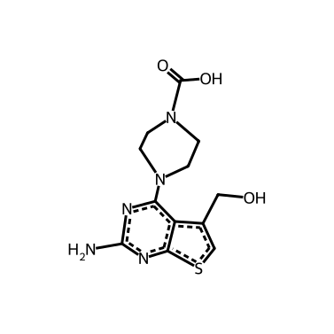 Nc1nc(N2CCN(C(=O)O)CC2)c2c(CO)csc2n1